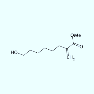 C=C(CCCCCCO)C(=O)OC